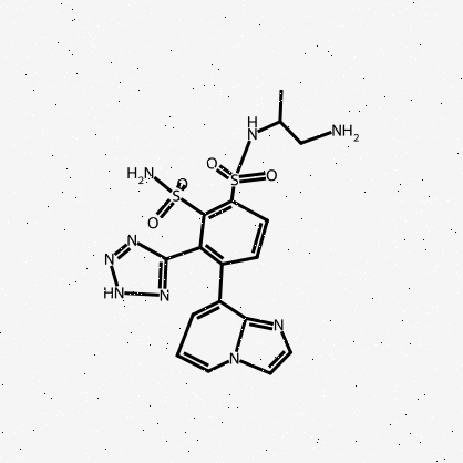 CC(CN)NS(=O)(=O)c1ccc(-c2cccn3ccnc23)c(-c2nn[nH]n2)c1S(N)(=O)=O